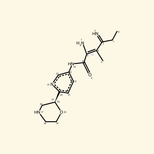 CCC(=N)/C(C)=C(\N)C(=O)Nc1ccc([C@@H]2CNCCO2)nc1